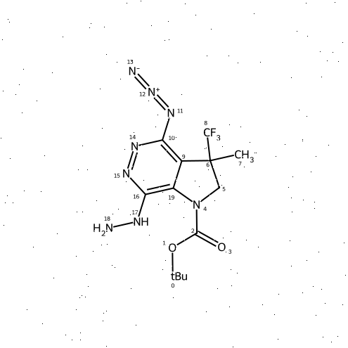 CC(C)(C)OC(=O)N1CC(C)(C(F)(F)F)c2c(N=[N+]=[N-])nnc(NN)c21